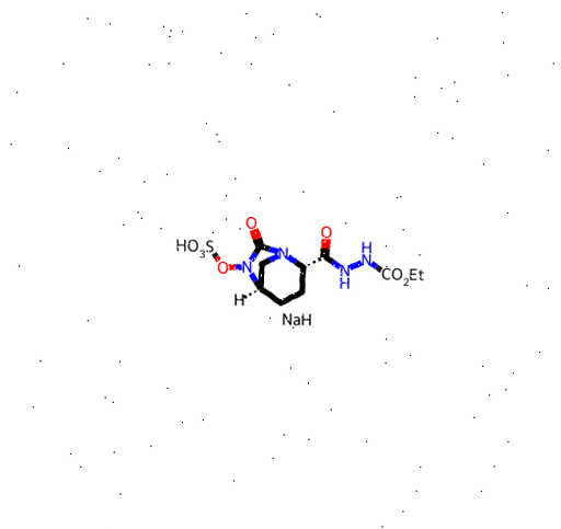 CCOC(=O)NNC(=O)[C@@H]1CC[C@@H]2CN1C(=O)N2OS(=O)(=O)O.[NaH]